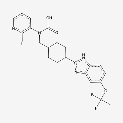 O=C(O)N(CC1CCC(c2nc3cc(OC(F)(F)F)ccc3[nH]2)CC1)c1cccnc1F